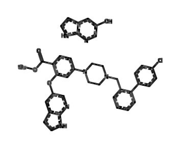 CC(C)(C)OC(=O)c1ccc(N2CCN(Cc3ccccc3-c3ccc(Cl)cc3)CC2)cc1Oc1cnc2[nH]ccc2c1.Oc1cnc2[nH]ccc2c1